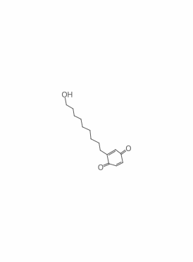 O=C1C=CC(=O)C(CCCCCCCCCO)=C1